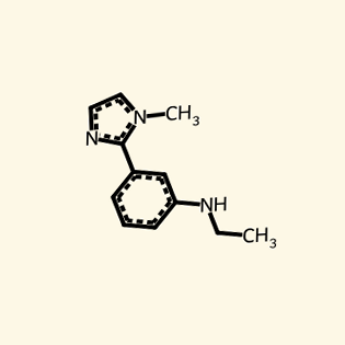 CCNc1cccc(-c2nccn2C)c1